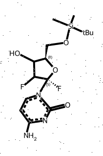 CC(C)(C)[Si](C)(C)OC[C@H]1O[C@@](F)(n2ccc(N)nc2=O)C(F)C1O